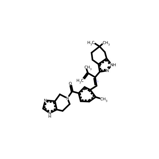 C=C(C)/C(=C\c1cc(C(=O)N2CCc3[nH]cnc3C2)ccc1C)c1n[nH]c2c1CCC(C)(C)C2